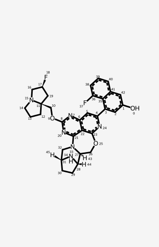 Oc1cc(-c2cc3nc(OC[C@@]45CCCN4C[C@@H](F)C5)nc4c3c(n2)OC[C@H]2[C@@H]3CC[C@H](CN42)N3)c2c(F)cccc2c1